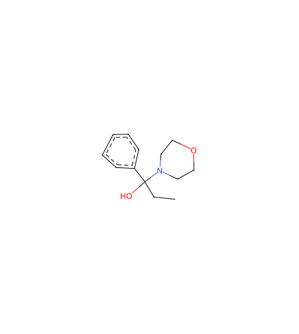 CCC(O)(c1ccccc1)N1CCOCC1